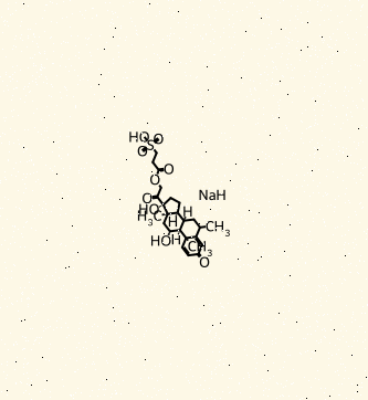 CC1C[C@@H]2[C@H]([C@@H](O)C[C@@]3(C)[C@H]2CC[C@]3(O)C(=O)COC(=O)CCS(=O)(=O)O)[C@@]2(C)C=CC(=O)C=C12.[NaH]